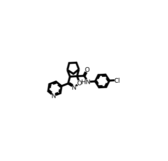 O=C(Nc1ccc(Cl)cc1)C12ON=C(c3cccnc3)C1C1CCC2C1